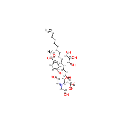 CCCCCCCCCCCCCCCCCC(=O)O.COC(=O)c1ccc(O)cc1.OCC(O)CO.OCCN(CCO)CCO